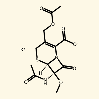 CO[C@]1(NC(C)=O)C(=O)N2C(C(=O)[O-])=C(COC(C)=O)CS[C@@H]21.[K+]